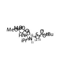 COC(=O)C[C@H](NC(=O)[C@H](C(C)C)N(C)Cc1ccc(C(=O)OC(C)(C)C)s1)C(=O)OC